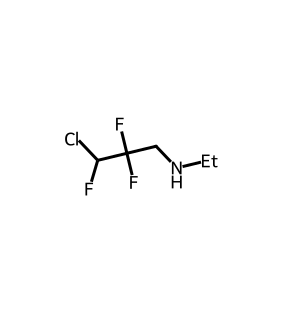 CCNCC(F)(F)C(F)Cl